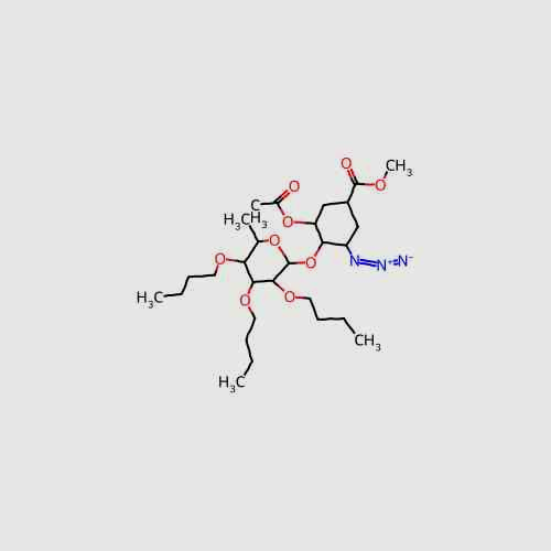 CCCCOC1C(C)OC(OC2C(N=[N+]=[N-])CC(C(=O)OC)CC2OC(C)=O)C(OCCCC)C1OCCCC